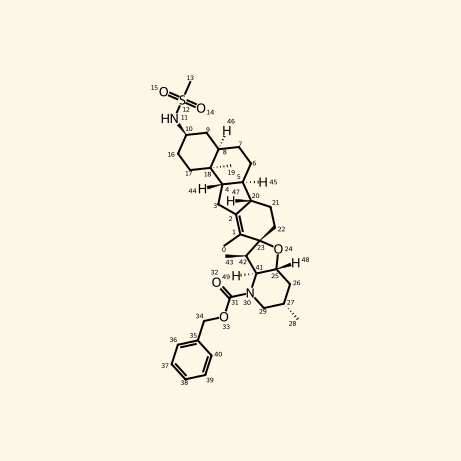 CC1=C2C[C@H]3[C@@H](CC[C@@H]4C[C@H](NS(C)(=O)=O)CC[C@@]43C)[C@@H]2CC[C@]12O[C@@H]1C[C@H](C)CN(C(=O)OCc3ccccc3)[C@H]1[C@H]2C